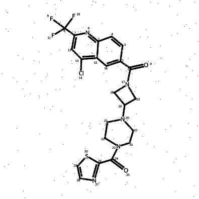 O=C(c1ccc2nc(C(F)(F)F)cc(Cl)c2c1)N1CC(N2CCN(C(=O)c3nccs3)CC2)C1